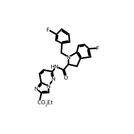 CCOC(=O)c1cn2nc(NC(=O)C3Cc4cc(F)ccc4N3Cc3cccc(F)c3)ccc2n1